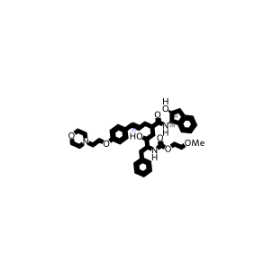 COCCOC(=O)NC(Cc1ccccc1)C(O)CC(C/C=C/c1ccc(OCCN2CCOCC2)cc1)C(=O)N[C@H]1c2ccccc2C[C@@H]1O